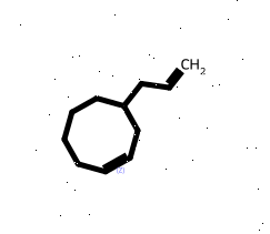 C=CCC1C/C=C\CCCC1